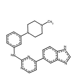 CN1CCN(c2cccc(Nc3nccc(-c4ccc5[nH]cnc5c4)n3)c2)CC1